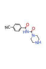 N#Cc1ccc(C(=O)NC(=O)N2CCNCC2)cc1